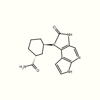 NC(=O)[C@@H]1CCC[C@@H](n2c(=O)[nH]c3cnc4[nH]ccc4c32)C1